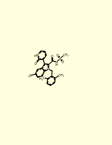 Cc1cccc(C)c1Cn1c(C(=O)NS(C)(=O)=O)c(-c2ccc[nH]c2=O)c2cc(Cl)ccc21